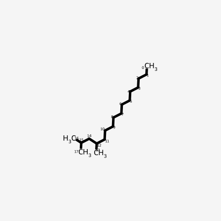 CCCCCCCCCCCCC(C)CC(C)C